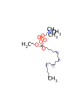 C=CCOC[C@H](COP(=O)([O-])OCC[N+](C)(C)C)OCCCC/C=C\C/C=C\C/C=C\C/C=C\CCCCC